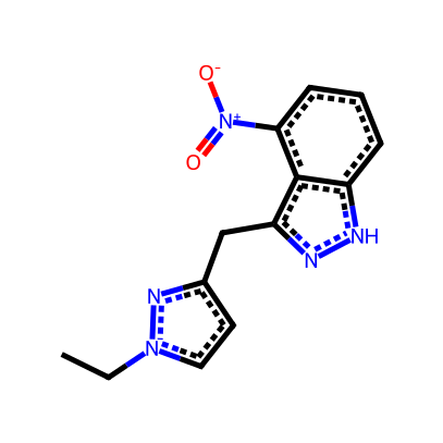 CCn1ccc(Cc2n[nH]c3cccc([N+](=O)[O-])c23)n1